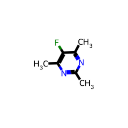 Cc1nc(C)c(F)c(C)n1